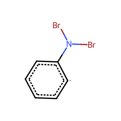 BrN(Br)c1[c]cccc1